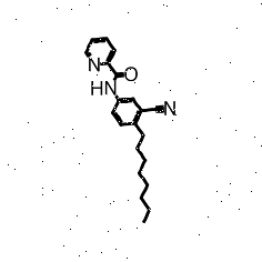 CCCCCCCCc1ccc(NC(=O)c2ccccn2)cc1C#N